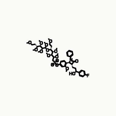 COCC[C@@H](OC(OC)[C@@H](OC)[C@@H](OC)[C@@H](CCOC)OC)[C@H](OC)[C@H](OC)C(CS(=O)(=O)Oc1ccc([C@@H]2[C@@H](CC[C@H](O)c3ccc(F)cc3)C(=O)N2c2ccccc2)c(OC)c1)OC